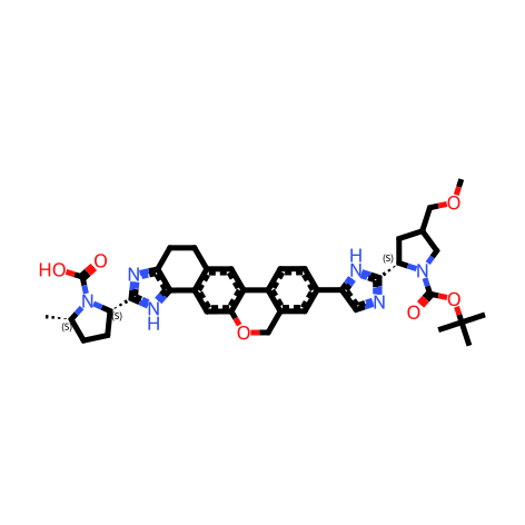 COCC1C[C@@H](c2ncc(-c3ccc4c(c3)COc3cc5c(cc3-4)CCc3nc([C@@H]4CC[C@H](C)N4C(=O)O)[nH]c3-5)[nH]2)N(C(=O)OC(C)(C)C)C1